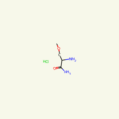 COCC(N)C(N)=O.Cl